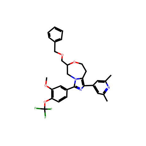 COc1cc(-c2nc(-c3cc(C)nc(C)c3)c3n2CC(COCc2ccccc2)OCC3)ccc1OC(F)(F)F